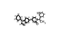 CC(C1CCCNC1)n1ccc(-c2ccc3c(c2)ncn3-c2ccccc2)nc1=O